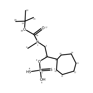 CN(CC(OP(O)(=S)S)C1CCCCCC1)C(=O)OC(C)(C)C